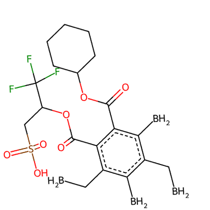 BCc1c(B)c(CB)c(C(=O)OC(CS(=O)(=O)O)C(F)(F)F)c(C(=O)OC2CCCCC2)c1B